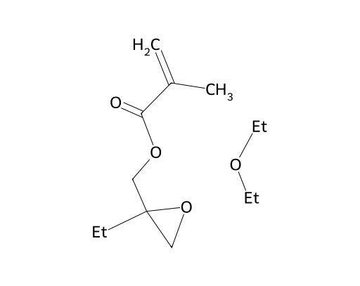 C=C(C)C(=O)OCC1(CC)CO1.CCOCC